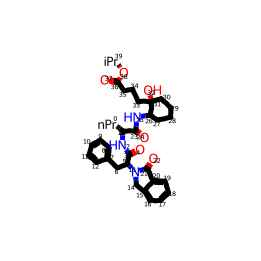 CCCC(NC(=O)C(Cc1ccccc1)N1Cc2ccccc2C1=O)C(=O)NC1CCCCC1(O)CCCC(=O)OC(C)C